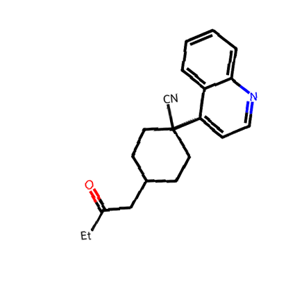 CCC(=O)CC1CCC(C#N)(c2ccnc3ccccc23)CC1